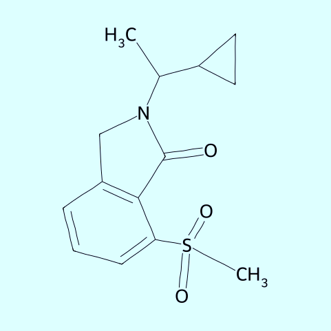 CC(C1CC1)N1Cc2cccc(S(C)(=O)=O)c2C1=O